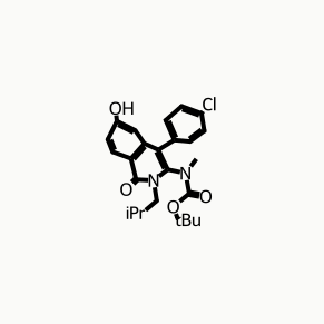 CC(C)Cn1c(N(C)C(=O)OC(C)(C)C)c(-c2ccc(Cl)cc2)c2cc(O)ccc2c1=O